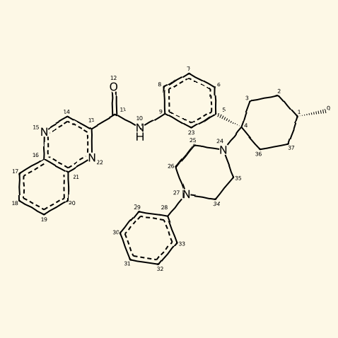 C[C@H]1CC[C@](c2cccc(NC(=O)c3cnc4ccccc4n3)c2)(N2CCN(c3ccccc3)CC2)CC1